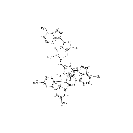 CCC1OC(n2cnc3c(C)ncnc32)C(OP(C)OC[C@H]2O[C@@H](n3cnc4c(C)ncnc43)[C@@H](F)C2OC(c2ccccc2)(c2ccc(OC)cc2)c2ccc(OC)cc2)[C@H]1F